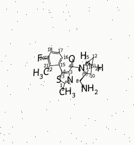 Cc1nc(C(=O)N2[C@H](CN)C[C@@H]3C[C@@H]32)c(-c2cccc(F)c2C)s1